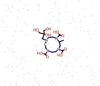 CC1CN(C(=O)O)CCN(C(=O)O)CCN(CC(O)(CO)CO)CCN1C(=O)O